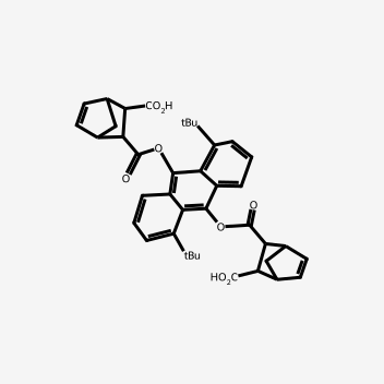 CC(C)(C)c1cccc2c(OC(=O)C3C4C=CC(C4)C3C(=O)O)c3c(C(C)(C)C)cccc3c(OC(=O)C3C4C=CC(C4)C3C(=O)O)c12